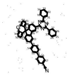 N#Cc1ccc(-c2ccc(-c3ccc4c(c3)-c3cc(-c5nc(-c6ccccc6)nc(-c6ccccc6)n5)ccc3C43c4ccccc4Oc4ccccc43)cc2)cc1